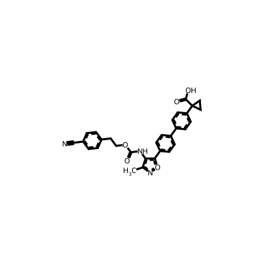 Cc1noc(-c2ccc(-c3ccc(C4(C(=O)O)CC4)cc3)cc2)c1NC(=O)OCCc1ccc(C#N)cc1